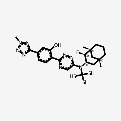 Cn1nnc(-c2ccc(-c3ncc(N([C@@H]4C[C@@]5(C)CCC[C@](C)(C5)[C@@H]4F)C(S)(S)S)nn3)c(O)c2)n1